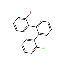 Fc1ccccc1-c1ccccc1-c1ccccc1Br